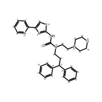 O=C(Nc1nc(-c2ccccn2)cs1)N(CCC(c1ccccc1)c1ccccc1)CCN1CCOCC1